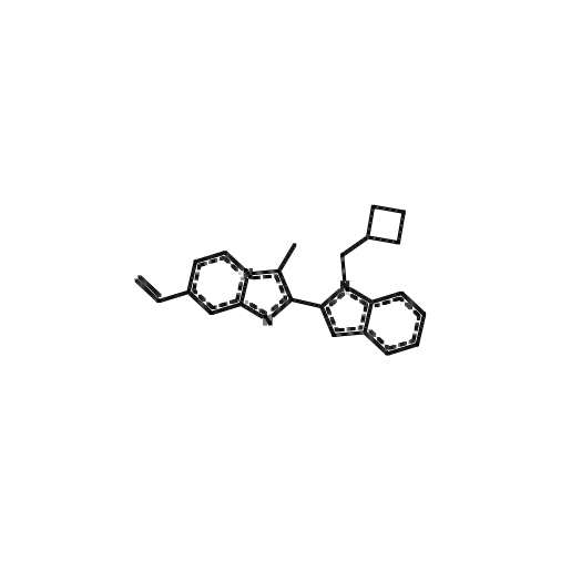 C=Cc1ccn2c(C)c(-c3cc4ccccc4n3CC3CCC3)nc2c1